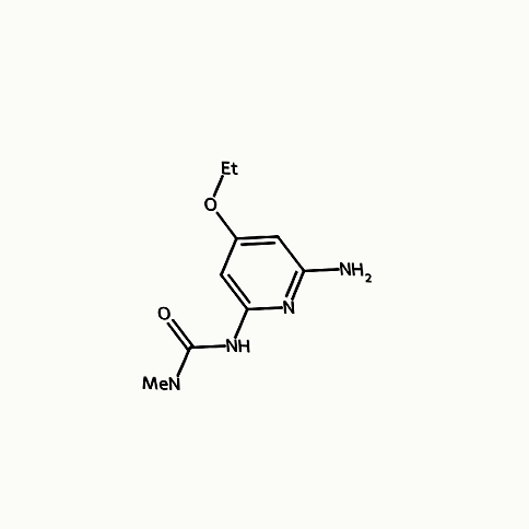 CCOc1cc(N)nc(NC(=O)NC)c1